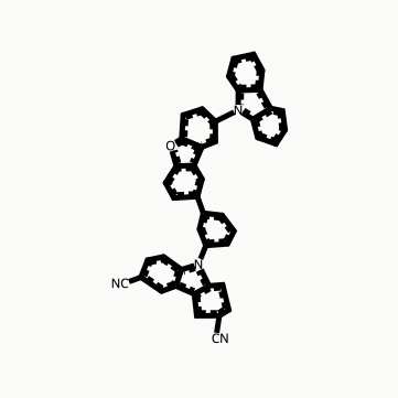 N#Cc1ccc2c(c1)c1cc(C#N)ccc1n2-c1cccc(-c2ccc3oc4ccc(-n5c6ccccc6c6ccccc65)cc4c3c2)c1